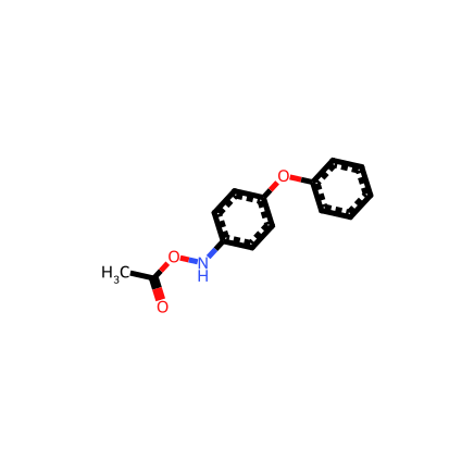 CC(=O)ONc1ccc(Oc2ccccc2)cc1